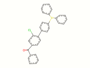 O=C(c1ccccc1)c1ccc(-c2ccc([S+](c3ccccc3)c3ccccc3)cc2)c(Cl)c1